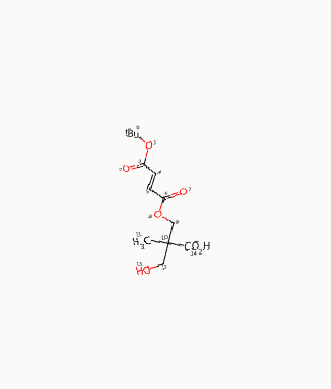 CC(C)(C)OC(=O)/C=C/C(=O)OCC(C)(CO)C(=O)O